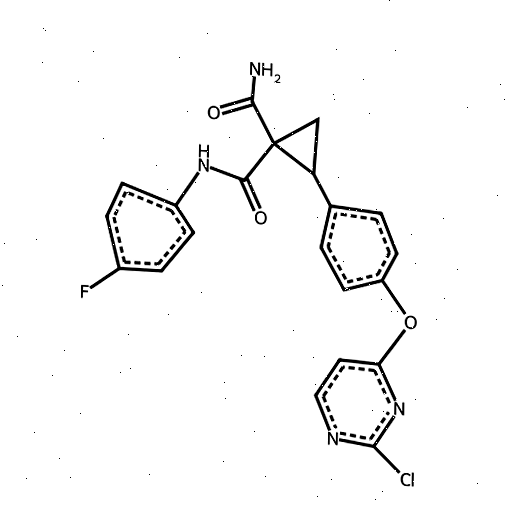 NC(=O)C1(C(=O)Nc2ccc(F)cc2)CC1c1ccc(Oc2ccnc(Cl)n2)cc1